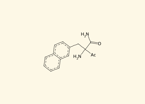 CC(=O)C(N)(Cc1ccc2ccccc2c1)C(N)=O